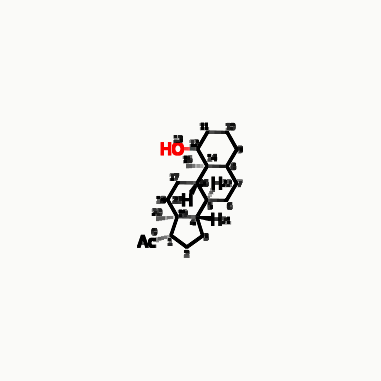 CC(=O)[C@H]1CC[C@H]2[C@@H]3CCC4CCCC(O)[C@]4(C)[C@H]3CC[C@]12C